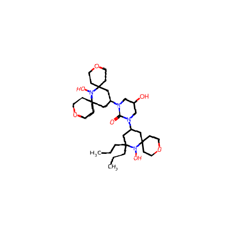 CCCC1(CCC)CC(N2CC(O)CN(C3CC4(CCOCC4)N(O)C4(CCOCC4)C3)C2=O)CC2(CCOCC2)N1O